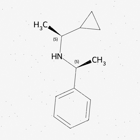 C[C@H](N[C@@H](C)C1CC1)c1ccccc1